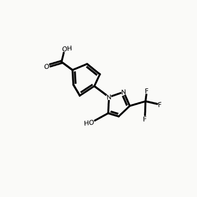 O=C(O)c1ccc(-n2nc(C(F)(F)F)cc2O)cc1